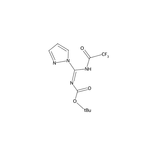 CC(C)(C)OC(=O)/N=C(\NC(=O)C(F)(F)F)n1cccn1